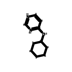 [c]1cc(OC2CCCCC2)ncn1